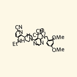 [CH2]CNc1ccc(C#N)nc1C1CCN(c2ncnc3c2C(C)(C)C(=O)N3Cc2ccc(OC)cc2OC)CC1